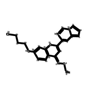 CC(C)(C)ON=c1cc(-c2cc3cccn3cn2)oc2cc(OCCCCl)ccc12